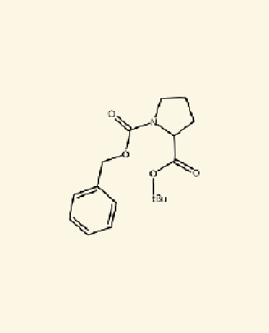 CC(C)(C)OC(=O)C1CCCN1C(=O)OCc1ccccc1